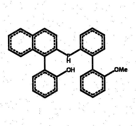 COc1ccccc1-c1ccccc1Pc1ccc2ccccc2c1-c1ccccc1O